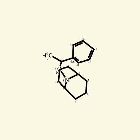 CC(ON1C2CCCC1CCC2)c1ccccc1